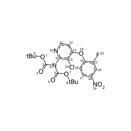 CC(C)(C)OC(=O)N(C(=O)OC(C)(C)C)c1nccc(Oc2ccc([N+](=O)[O-])cc2F)c1Cl